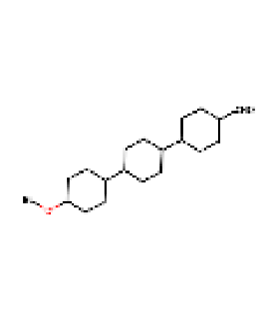 CCOC1CCC(C2CCC(C3CCC(C=O)CC3)CC2)CC1